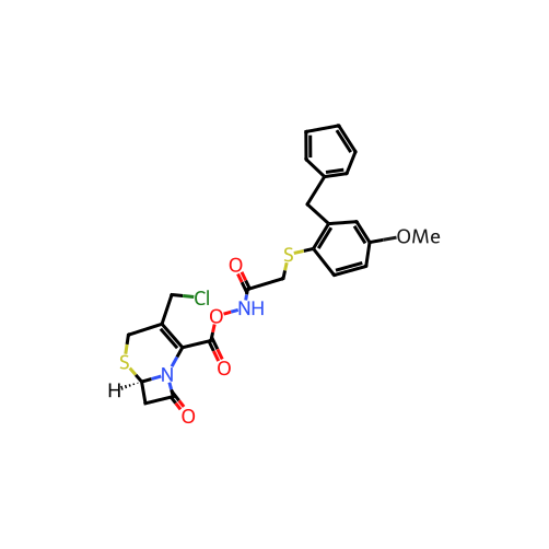 COc1ccc(SCC(=O)NOC(=O)C2=C(CCl)CS[C@@H]3CC(=O)N23)c(Cc2ccccc2)c1